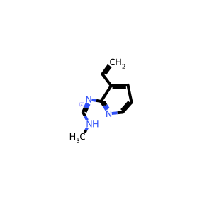 C=Cc1cccnc1/N=C\NC